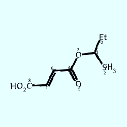 CCC([SiH3])OC(=O)C=CC(=O)O